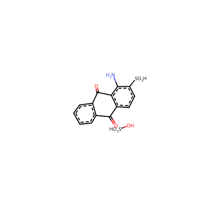 Nc1c(S(=O)(=O)O)ccc2c1C(=O)c1ccccc1C2=O.O=S(=O)(O)O